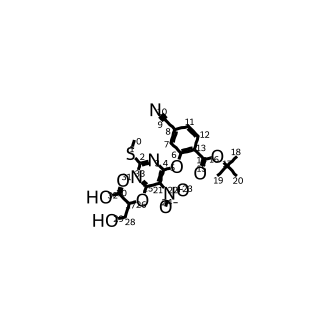 CSc1nc(Oc2cc(C#N)ccc2C(=O)OC(C)(C)C)c([N+](=O)[O-])c(OC(CO)C(=O)O)n1